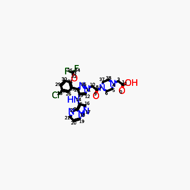 O=C(O)CN1CCN(C(=O)Cn2cc(Nc3cnn4cccnc34)c(-c3cc(Cl)ccc3OC(F)F)n2)CC1